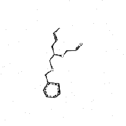 C/C=C/C[C@H](COCc1ccccc1)OCC=O